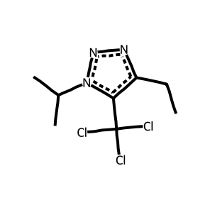 CCc1nnn(C(C)C)c1C(Cl)(Cl)Cl